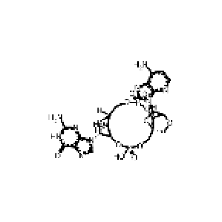 Nc1nc2c(ncn2[C@@H]2O[C@@H]3COP(=O)(O)O[C@@H]4C5OC[C@]4(COP(=O)(O)OC2[C@H]3O)O[C@H]5n2cnc3c(N)ccnc32)c(=O)[nH]1